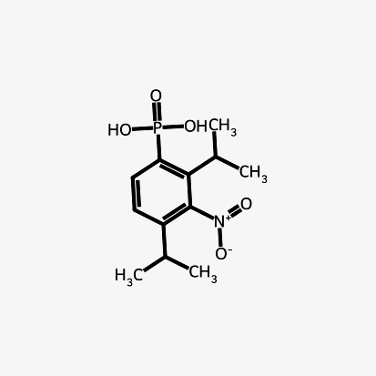 CC(C)c1ccc(P(=O)(O)O)c(C(C)C)c1[N+](=O)[O-]